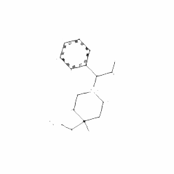 CCC1(CC#N)CCN(C(CO)c2ccccc2)CC1